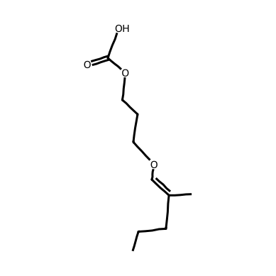 CCCC(C)=COCCCOC(=O)O